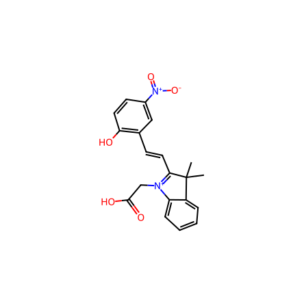 CC1(C)C(/C=C/c2cc([N+](=O)[O-])ccc2O)=[N+](CC(=O)O)c2ccccc21